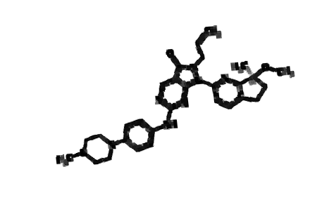 C=CCn1c(=O)c2cnc(Nc3ccc(N4CCN(C)CC4)cc3)nc2n1-c1ccc2c(n1)[C@@](C)(OC)CC2